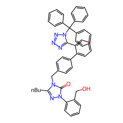 CCCCc1nn(-c2ccccc2CO)c(=O)n1Cc1ccc(-c2ccccc2-c2nnnn2C(c2ccccc2)(c2ccccc2)c2ccccc2)cc1